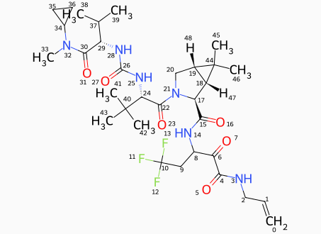 C=CCNC(=O)C(=O)C(CC(F)(F)F)NC(=O)[C@@H]1[C@@H]2[C@H](CN1C(=O)[C@@H](NC(=O)N[C@H](C(=O)N(C)C1CC1)C(C)C)C(C)(C)C)C2(C)C